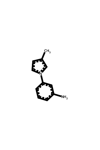 Cc1ccn(-c2cccc(N)c2)c1